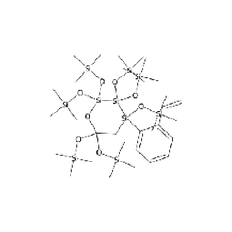 C=Cc1ccccc1[Si]1(O[Si](C)(C)C)CC(O[Si](C)(C)C)(O[Si](C)(C)C)O[Si](O[Si](C)(C)C)(O[Si](C)(C)C)[Si]1(O[Si](C)(C)C)O[Si](C)(C)C